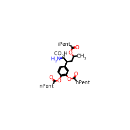 CCCCCC(=O)Oc1ccc(C(CC(C)OC(=O)C(C)CCC)[C@H](N)C(=O)O)cc1OC(=O)CCCCC